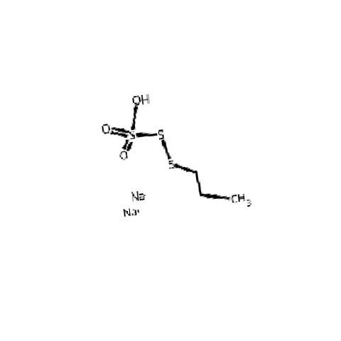 CCCSSS(=O)(=O)O.[Na].[Na]